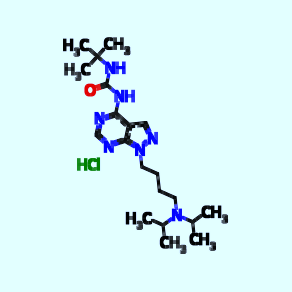 CC(C)N(CCCCn1ncc2c(NC(=O)NC(C)(C)C)ncnc21)C(C)C.Cl